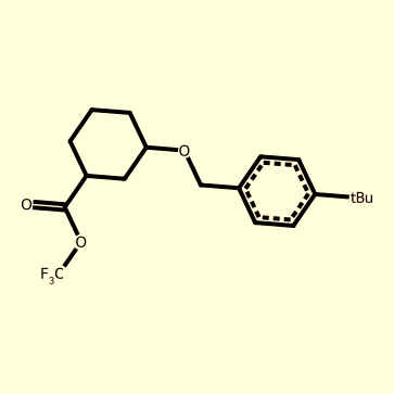 CC(C)(C)c1ccc(COC2CCCC(C(=O)OC(F)(F)F)C2)cc1